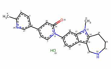 Cc1ccc(-c2ccn(-c3ccc4c5c(n(C)c4c3)CCCNC5)c(=O)c2)cn1.Cl